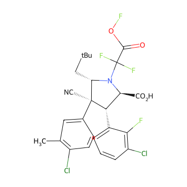 Cc1cc([C@@]2(C#N)[C@H](CC(C)(C)C)N(C(F)(F)C(=O)OF)[C@@H](C(=O)O)[C@@H]2c2cccc(Cl)c2F)ccc1Cl